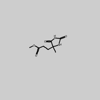 COC(=O)CCC1(C)NC(=O)NC1=O